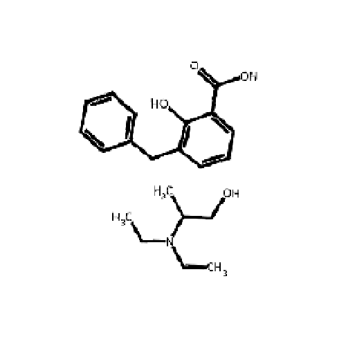 CCN(CC)C(C)CO.O=C(O)c1cccc(Cc2ccccc2)c1O